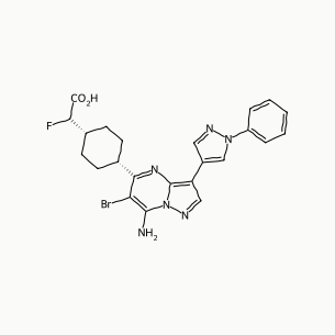 Nc1c(Br)c([C@H]2CC[C@@H](C(F)C(=O)O)CC2)nc2c(-c3cnn(-c4ccccc4)c3)cnn12